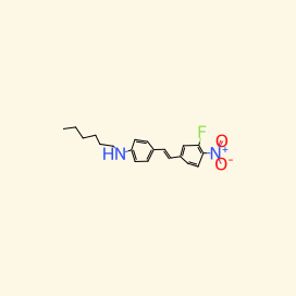 CCCCCCNc1ccc(C=Cc2ccc([N+](=O)[O-])c(F)c2)cc1